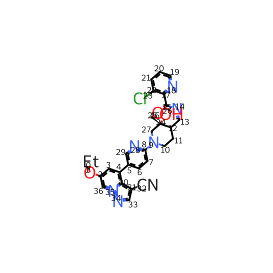 CCOc1cc(-c2ccc(N3CCC(/C=N\C(=O)c4ncccc4Cl)[C@@](C)(O)C3)nc2)c2c(C#N)cnn2c1